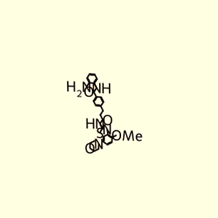 COc1ccc(N2CCOCC2)c2sc(NC(=O)CCc3ccc(C(=O)Nc4ccccc4N)cc3)nc12